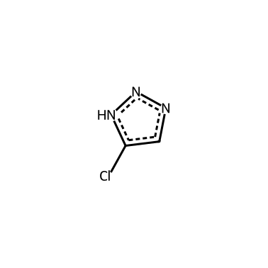 Clc1cnn[nH]1